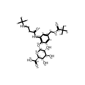 CC(C)(C)NCCC(=O)Nc1cc(COC(=O)C(C)(C)C)ccc1O[C@H]1O[C@H](C(=O)O)[C@@H](O)[C@H](O)[C@H]1O